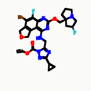 CC(C)(C)OC(=O)n1nc(C2CC2)nc1CNc1nc(OC[C@@]23CCCN2C[C@H](F)C3)nc2c(F)c(Br)c3c(c12)COC3